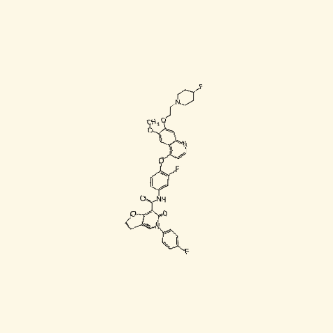 COc1cc2c(Oc3ccc(NC(=O)c4c5c(cn(-c6ccc(F)cc6)c4=O)CCO5)cc3F)ccnc2cc1OCCN1CCC(F)CC1